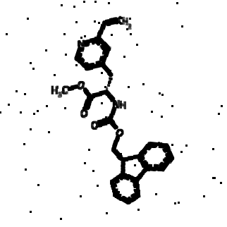 C=Cc1cc(C[C@H](NC(=O)OCC2c3ccccc3-c3ccccc32)C(=O)OC)ccn1